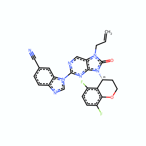 C=CCn1c(=O)n([C@@H]2CCOc3c(F)ccc(F)c32)c2nc(-n3cnc4ccc(C#N)cc43)ncc21